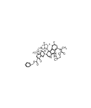 CN1C[C@@H]2CCN(c3c(-c4cnc5c(c4)c(=O)c(C(=O)OCc4ccccc4)cn5C)cnc4[nH]c5c(N(C)C(=O)OCCl)cc(F)c(F)c5c34)[C@@H]2C1